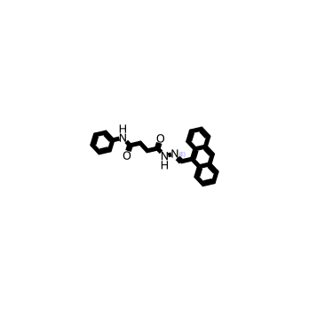 O=C(CCC(=O)Nc1ccccc1)N/N=C/c1c2ccccc2cc2ccccc12